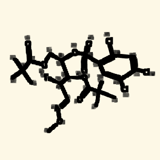 CON=C[C@@H](F)[C@H](OC(=O)C(C)(C)C)[C@@H](COC(=O)C(C)(C)C)OS(=O)(=O)c1cc(Cl)c(Cl)cc1Cl